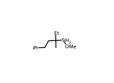 CCC(C)(CCC(C)C)[SiH2]OC